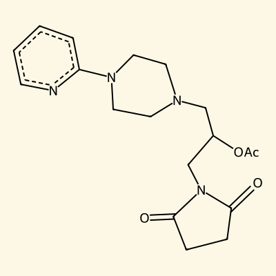 CC(=O)OC(CN1CCN(c2ccccn2)CC1)CN1C(=O)CCC1=O